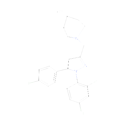 CCCC1CCN(CC2=NN(c3ccc(Cl)cc3Cl)C(c3ccc(Cl)cc3)C2)CC1